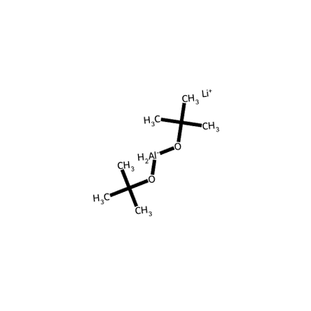 CC(C)(C)[O][AlH2-][O]C(C)(C)C.[Li+]